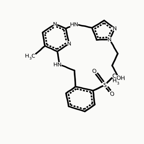 Cc1cnc(Nc2cnn(CCO)c2)nc1NCc1ccccc1S(C)(=O)=O